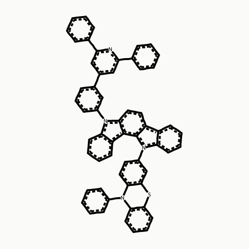 c1ccc(-c2cc(-c3cccc(-n4c5ccccc5c5c4ccc4c6ccccc6n(-c6ccc7c(c6)Sc6ccccc6N7c6ccccc6)c45)c3)cc(-c3ccccc3)n2)cc1